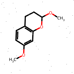 COc1ccc2c(c1)OC(OC)CC2